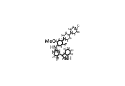 COc1cc(N2CCC(N3CCN(C)CC3)CC2)c(F)cc1Nc1ncc(F)c(-c2c[nH]c3ccccc23)n1